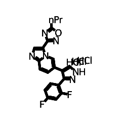 CCCc1nc(-c2cnc3ccc(-c4c[nH]nc4-c4ccc(F)cc4F)cn23)no1.Cl.Cl.Cl